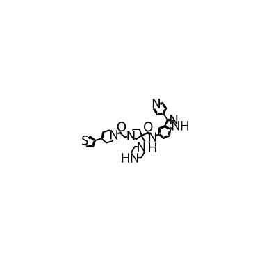 O=C(CN1CCC(CN2CCNCC2)(C(=O)Nc2ccc3[nH]nc(-c4ccncc4)c3c2)C1)N1CC=C(c2ccsc2)CC1